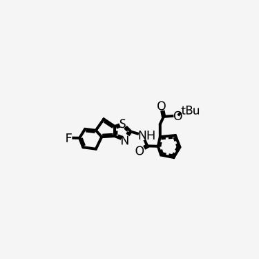 CC(C)(C)OC(=O)Cc1ccccc1C(=O)Nc1nc2c(s1)=CC1=CC(F)=CCC=21